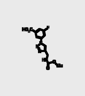 CC(C)(C)OC(=O)NCc1cn(-c2cc(F)cc(C(=O)O)c2)nn1